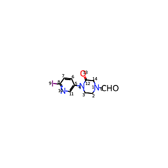 O=CN1CCN(c2ccc(I)nc2)C(=O)C1